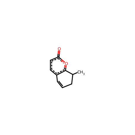 CC1CC=Cc2ccc(=O)oc21